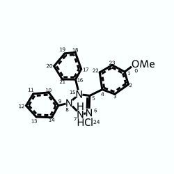 COc1ccc(C2=NNN(c3ccccc3)N2c2ccccc2)cc1.Cl